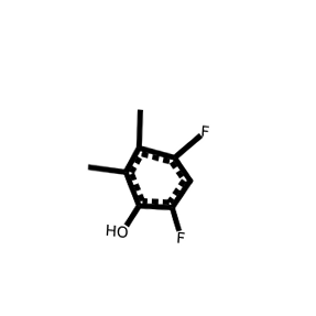 Cc1c(F)cc(F)c(O)c1C